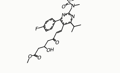 COC(=O)CC(O)CC(=O)C=Cc1c(-c2ccc(F)cc2)nc(N(C)S(C)(=O)=O)nc1C(C)C